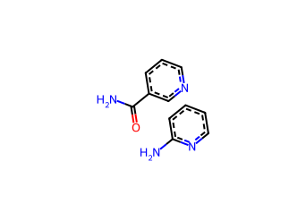 NC(=O)c1cccnc1.Nc1ccccn1